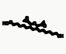 C(OCC1CO1)C1CO1.OCCCCCCCCCCCCCCOO